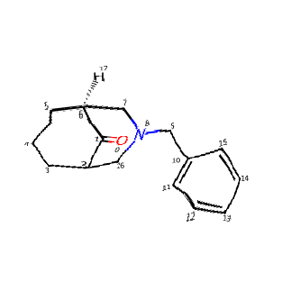 O=C1C2CCC[C@H]1CN(Cc1ccccc1)C2